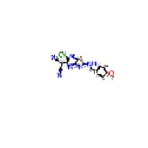 COc1ccc(CNc2nc3nc(C(C#N)C#N)c(Cl)nc3s2)cc1